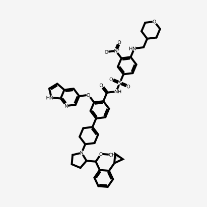 COC(c1ccccc1C1CC1)C1CCCN1C1CC=C(c2ccc(C(=O)NS(=O)(=O)c3ccc(NCC4CCOCC4)c([N+](=O)[O-])c3)c(Oc3cnc4[nH]ccc4c3)c2)CC1